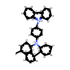 Cc1ccc(N(c2ccc(-n3c4ccccc4c4ccccc43)cc2)c2ccccc2-c2ccccc2)cc1